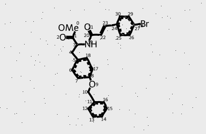 COC(=O)C(Cc1ccc(OCc2ccccc2)cc1)NC(=O)/C=C/c1ccc(Br)cc1